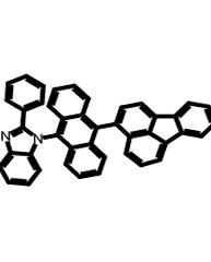 c1ccc(-c2nc3ccccc3n2-c2c3ccccc3c(-c3ccc4c5c(cccc35)-c3ccccc3-4)c3ccccc23)cc1